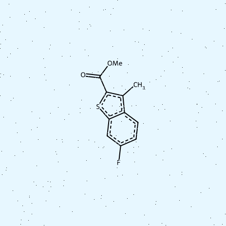 COC(=O)c1sc2cc(F)ccc2c1C